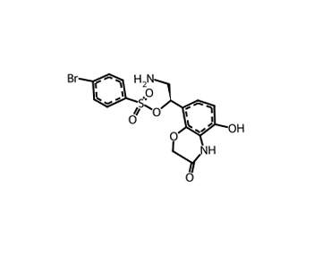 NC[C@H](OS(=O)(=O)c1ccc(Br)cc1)c1ccc(O)c2c1OCC(=O)N2